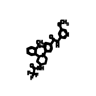 COc1cncc(NC(=O)c2ccc3c(c2)N(C)c2ccccc2C2CC(NC(=O)C(F)(F)F)CCN32)c1